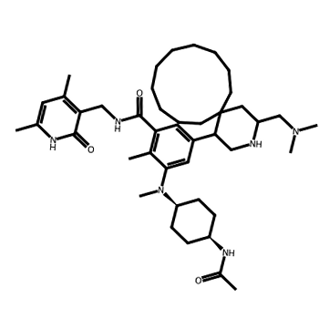 CC(=O)N[C@H]1CC[C@@H](N(C)c2cc(C3CNC(CN(C)C)CC34CCCCCCCCCC4)cc(C(=O)NCc3c(C)cc(C)[nH]c3=O)c2C)CC1